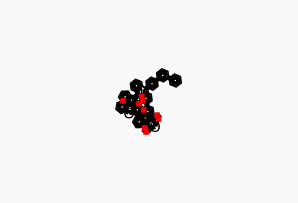 c1ccc(-c2cccc(-c3ccc(N(c4ccc(-c5ccc6c(c5)-c5ccccc5C65c6ccccc6Oc6ccccc65)cc4)c4ccccc4-c4cccc5c4-c4ccccc4C54c5ccccc5Oc5ccccc54)cc3)c2)cc1